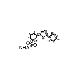 CC(=O)NS(=O)(=O)c1cccc(C2C=NN(c3cccnc3)C2)n1